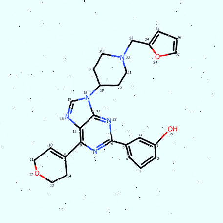 Oc1cccc(-c2nc(C3=CCOCC3)c3ncn(C4CCN(Cc5ccco5)CC4)c3n2)c1